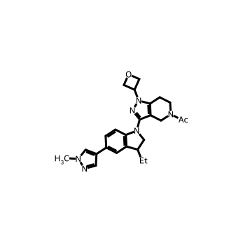 CCC1CN(c2nn(C3COC3)c3c2CN(C(C)=O)CC3)c2ccc(-c3cnn(C)c3)cc21